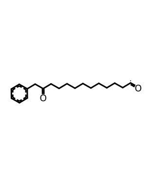 O=[C]CCCCCCCCCCC(=O)Cc1ccccc1